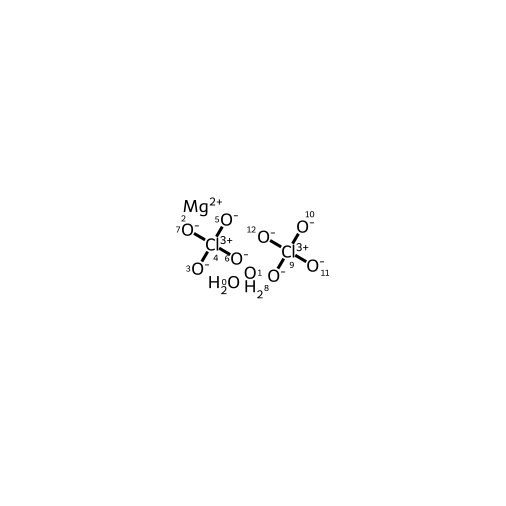 O.O.[Mg+2].[O-][Cl+3]([O-])([O-])[O-].[O-][Cl+3]([O-])([O-])[O-]